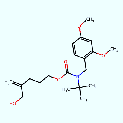 C=C(CO)CCCOC(=O)N(Cc1ccc(OC)cc1OC)C(C)(C)C